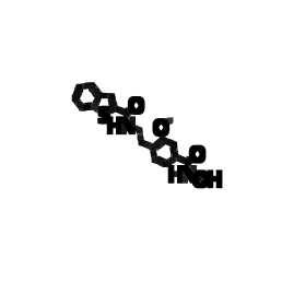 COc1cc(C(=O)NO)ccc1CCNC(=O)c1cc2ccccc2s1